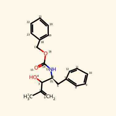 C=C(C)C(O)[C@H](Cc1ccccc1)NC(=O)OCc1ccccc1